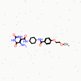 COCCOc1ccc(C(=O)N[C@H]2CC[C@@H](NC(=O)c3[nH]c(=O)[nH]c(=O)c3N)CC2)cc1